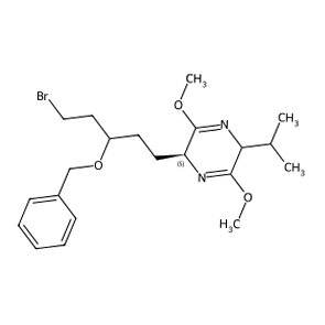 COC1=N[C@@H](CCC(CCBr)OCc2ccccc2)C(OC)=NC1C(C)C